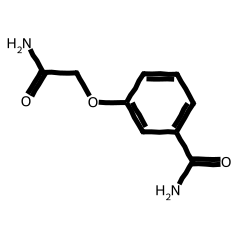 NC(=O)COc1cccc(C(N)=O)c1